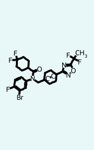 CC(F)(F)c1nc(C23CCC(CN(C(=O)C4CCC(F)(F)CC4)c4ccc(F)c(Br)c4)(CC2)CC3)no1